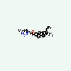 CN/C=C(\N)CCC(=O)CC1CCC2(C)C(=CCC3C2CCC2(C)C(C(C)CCCC(C)C)CCC32)C1